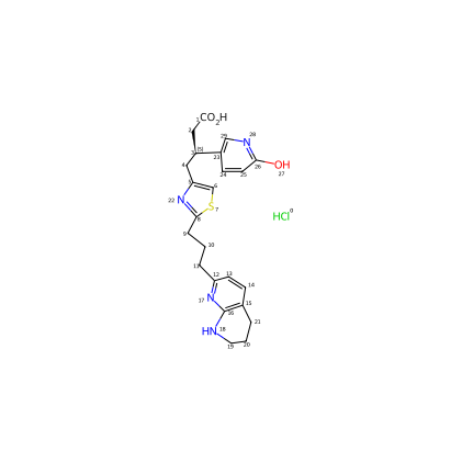 Cl.O=C(O)C[C@H](Cc1csc(CCCc2ccc3c(n2)NCCC3)n1)c1ccc(O)nc1